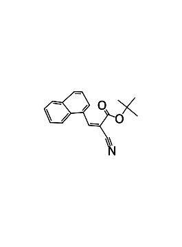 CC(C)(C)OC(=O)C(C#N)=Cc1cccc2ccccc12